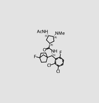 CN[C@@H]1C[C@@H](C(=O)N[C@H](c2c(F)ccc(Cl)c2Cl)C23CCC(F)(CC2)C3)C[C@@H]1NC(C)=O